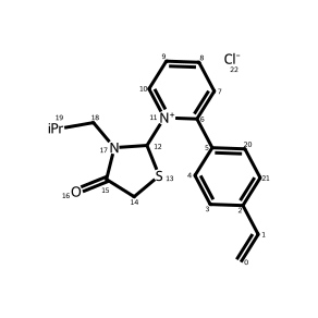 C=Cc1ccc(-c2cccc[n+]2C2SCC(=O)N2CC(C)C)cc1.[Cl-]